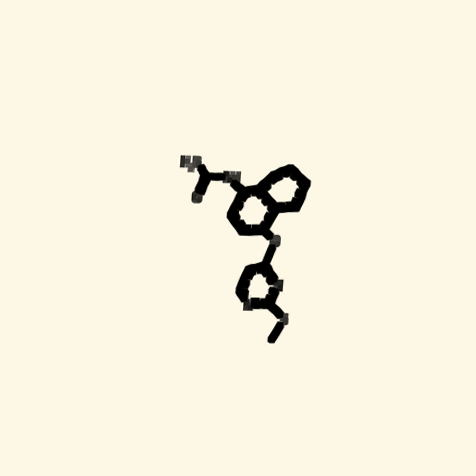 BC(=O)Nc1ccc(Oc2ccnc(SC)n2)c2ccccc12